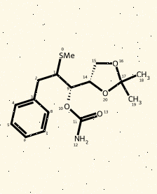 CSC(Cc1ccccc1)[C@@H](OC(N)=O)[C@@H]1COC(C)(C)O1